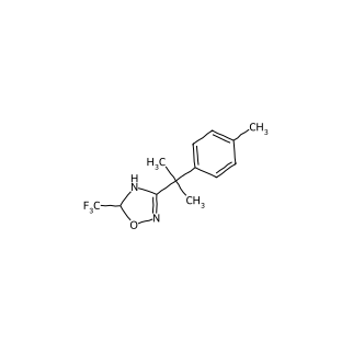 Cc1ccc(C(C)(C)C2=NOC(C(F)(F)F)N2)cc1